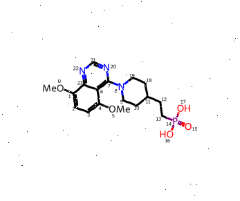 COc1ccc(OC)c2c(N3CCC(CCP(=O)(O)O)CC3)ncnc12